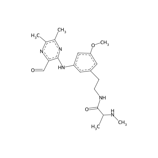 CNC(C)C(=O)NCCc1cc(Nc2nc(C)c(C)nc2C=O)cc(OC)c1